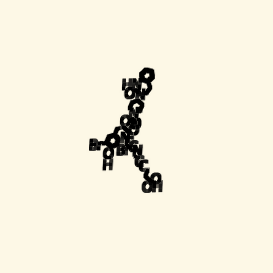 O=C(O)CC=C=C=CN=C=C=NC(=O)[C@@H](Cc1cc(Br)c(O)c(Br)c1)OC(=O)N1CCC(N2CCc3ccccc3NC2=O)CC1